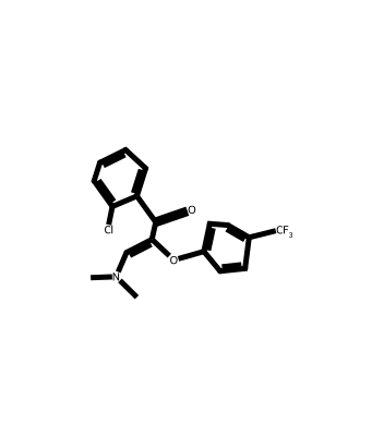 CN(C)/C=C(\Oc1ccc(C(F)(F)F)cc1)C(=O)c1ccccc1Cl